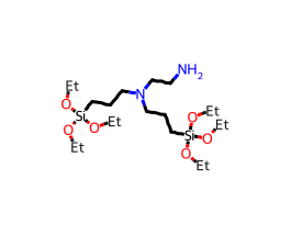 CCO[Si](CCCN(CCN)CCC[Si](OCC)(OCC)OCC)(OCC)OCC